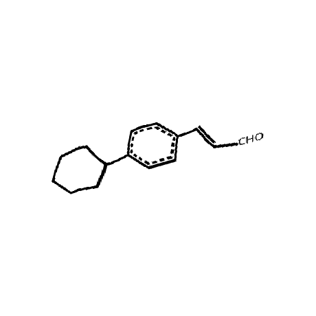 O=CC=Cc1ccc(C2CCCCC2)cc1